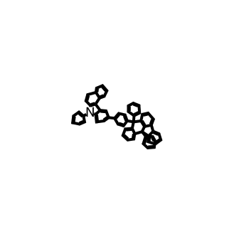 c1ccc(-n2c3ccc(-c4ccc(C5(c6ccccc6)c6ccccc6C6(c7ccccc7)c7ccccc7-c7cccc5c76)cc4)cc3c3c4ccccc4ccc32)cc1